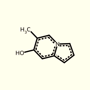 Cc1cn2cccc2cc1O